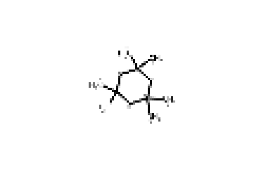 CC1(C)CC(C)(C)CC(C)(N)C1